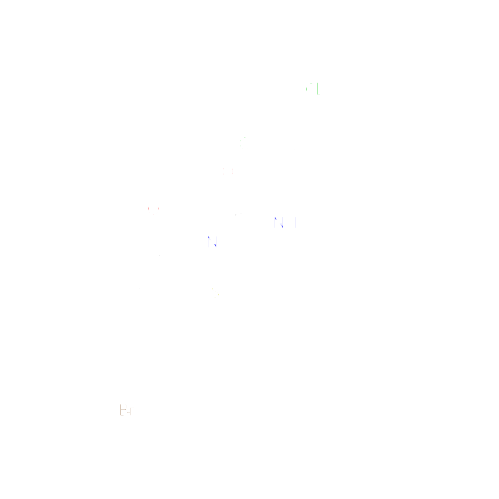 O=C(Nc1cccc(Cl)c1Cl)n1sc(CCBr)cc1=O